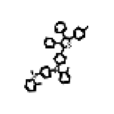 Cc1ccc(-c2sc(-c3ccc(N(c4ccc(N(C)c5ccccc5C)cc4)c4ccccc4C)cc3)c(-c3ccccc3)c2-c2ccccc2)cc1